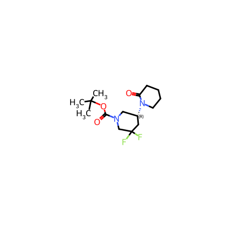 CC(C)(C)OC(=O)N1C[C@H](N2CCCCC2=O)CC(F)(F)C1